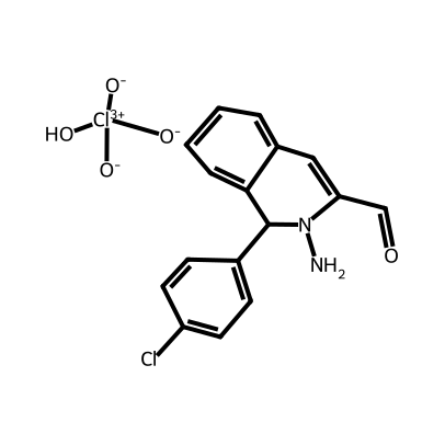 NN1C(C=O)=Cc2ccccc2C1c1ccc(Cl)cc1.[O-][Cl+3]([O-])([O-])O